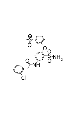 CS(=O)(=O)c1cccc(Oc2ccc(NC(=O)Cc3ccccc3Cl)cc2S(N)(=O)=O)c1